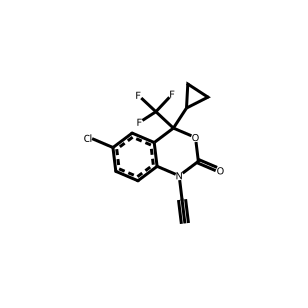 C#CN1C(=O)OC(C2CC2)(C(F)(F)F)c2cc(Cl)ccc21